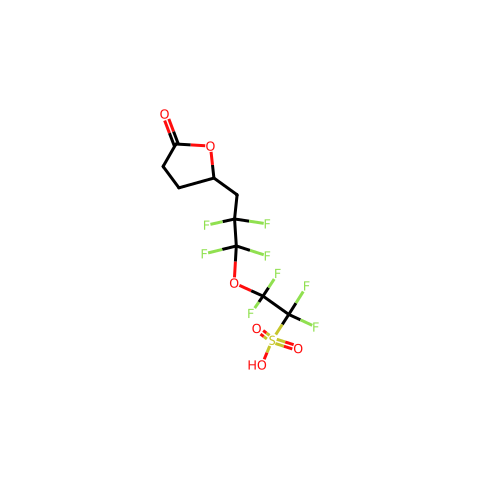 O=C1CCC(CC(F)(F)C(F)(F)OC(F)(F)C(F)(F)S(=O)(=O)O)O1